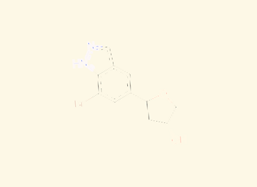 O[C@H]1COC(c2cc(Br)c3[nH]ncc3c2)C1